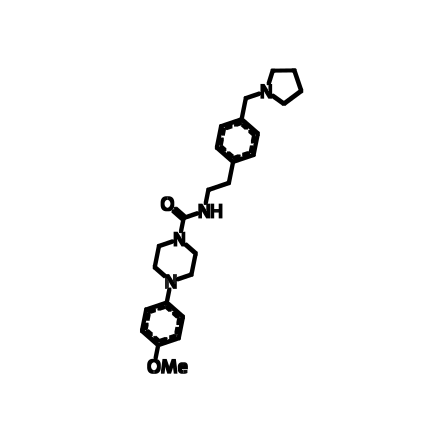 COc1ccc(N2CCN(C(=O)NCCc3ccc(CN4CCCC4)cc3)CC2)cc1